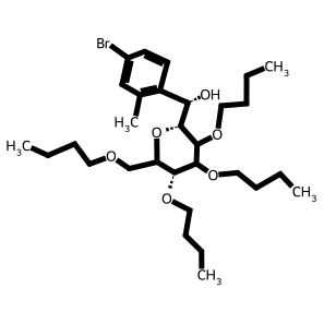 CCCCOCC1O[C@H]([C@@H](O)c2ccc(Br)cc2C)C(OCCCC)C(OCCCC)[C@@H]1OCCCC